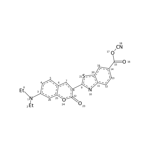 CCN(CC)c1ccc2cc(-c3nc4ccc(C(=O)OC#N)cc4s3)c(=O)oc2c1